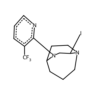 FC(F)(F)c1cccnc1N1CC(I)N2CCCC1CC2